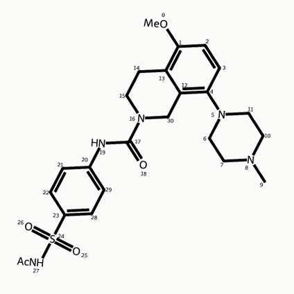 COc1ccc(N2CCN(C)CC2)c2c1CCN(C(=O)Nc1ccc(S(=O)(=O)NC(C)=O)cc1)C2